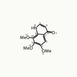 COc1cc2c(=O)cc[nH]c2c(OC)c1OC